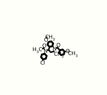 COc1cccc(C(=O)N2c3ccc(OC)cc3C(N(C(C)=O)c3ccc(Cl)cc3)CC2C)c1